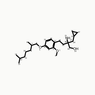 COc1cc(OCC(C)CCCC(C)C)ccc1CCC(N)(CO)CC1CC1